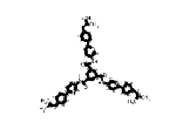 CC(C)Cc1ccc(-c2ccc(NC(=O)c3cc(C(=O)Nc4ccc(-c5ccc(CC(C)C)cc5)nc4)cc(C(=O)Nc4ccc(-c5ccc(CC(C)C)cc5)nc4)c3)cn2)cc1